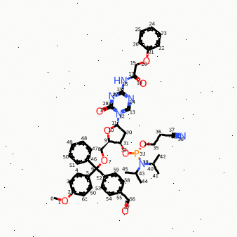 COc1ccc(C(OC[C@H]2O[C@@H](n3cnc(NC(=O)COc4ccccc4)nc3=O)C[C@H]2OP(OCCC#N)N(C(C)C)C(C)C)(c2ccccc2)c2ccc(C=O)cc2)cc1